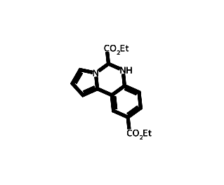 CCOC(=O)c1ccc2c(c1)-c1cccn1C(C(=O)OCC)N2